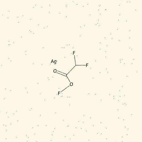 O=C(OF)C(F)F.[Ag]